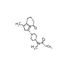 C=CC(=O)N(C)c1ccc(-c2cc(C)c3n2C(=O)CCC3)cc1